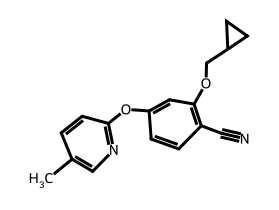 Cc1ccc(Oc2ccc(C#N)c(OCC3CC3)c2)nc1